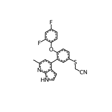 Cc1cc(-c2cc(SCC#N)ccc2Oc2ccc(F)cc2F)c2cc[nH]c2n1